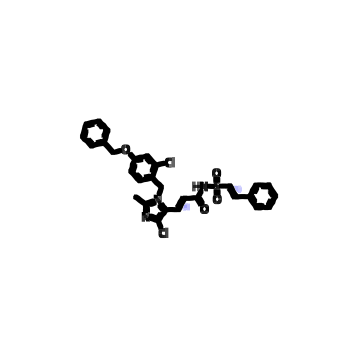 Cc1nc(Cl)c(/C=C/C(=O)NS(=O)(=O)/C=C/c2ccccc2)n1Cc1ccc(OCc2ccccc2)cc1Cl